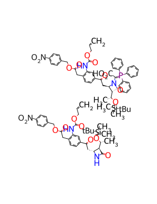 C=CCOC(=O)Nc1cc(C(=O)C[C@@H]2[C@@H]([C@@H](C)O[Si](C)(C)C(C)(C)C)C(=O)N2C(C(=O)O)=P(c2ccccc2)(c2ccccc2)c2ccccc2)ccc1CC(=O)OCc1ccc([N+](=O)[O-])cc1.C=CCOC(=O)Nc1cc(C(=O)C[C@H]2NC(=O)[C@@H]2[C@@H](C)O[Si](C)(C)C(C)(C)C)ccc1CC(=O)OCc1ccc([N+](=O)[O-])cc1